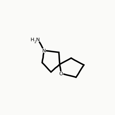 NN1CCC2(CCCO2)C1